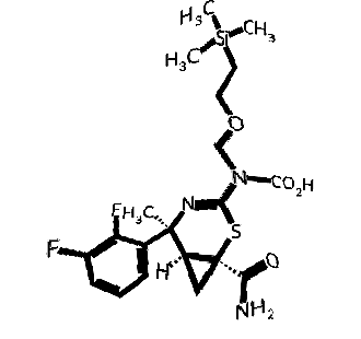 C[C@]1(c2cccc(F)c2F)N=C(N(COCC[Si](C)(C)C)C(=O)O)S[C@@]2(C(N)=O)C[C@H]21